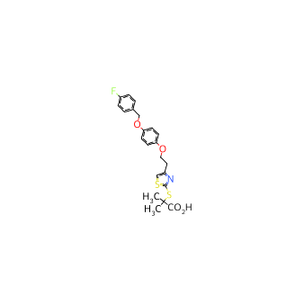 CC(C)(Sc1nc(CCOc2ccc(OCc3ccc(F)cc3)cc2)cs1)C(=O)O